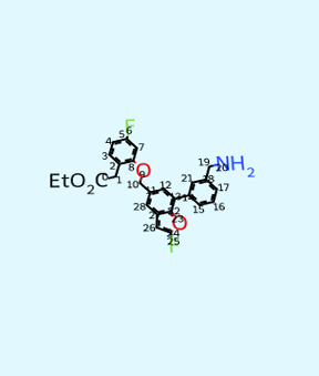 CCOC(=O)Cc1ccc(F)cc1OCc1cc(-c2cccc(CN)c2)c2oc(F)cc2c1